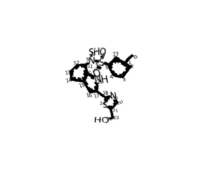 Cc1cccc(S(=O)(=O)N(S)c2cccc3cc(-c4ncc(CO)s4)[nH]c23)c1